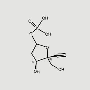 C#C[C@]1(CO)OC(OP(=O)(O)O)C[C@@H]1O